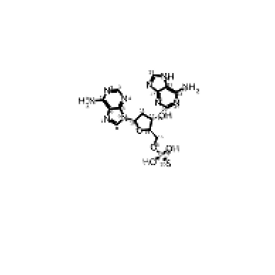 Nc1ncnc2c1ncn2[C@H]1C[C@H](O)[C@@H](COP(O)(O)=S)O1.Nc1ncnc2nc[nH]c12